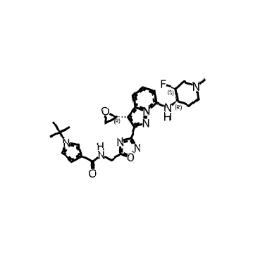 CN1CC[C@@H](Nc2cccc3c([C@@H]4CO4)c(-c4noc(CNC(=O)c5ccn(C(C)(C)C)c5)n4)nn23)[C@@H](F)C1